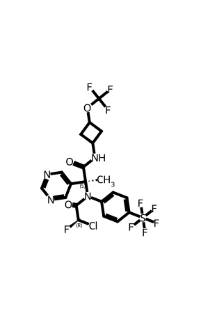 C[C@@](C(=O)NC1CC(OC(F)(F)F)C1)(c1cncnc1)N(C(=O)[C@H](F)Cl)c1ccc(S(F)(F)(F)(F)F)cc1